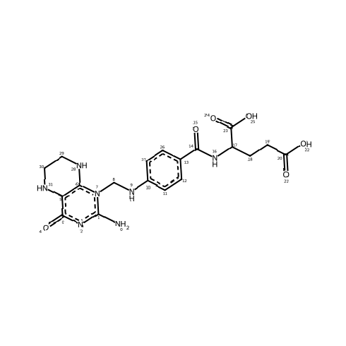 Nc1nc(=O)c2c(n1CNc1ccc(C(=O)NC(CCC(=O)O)C(=O)O)cc1)NCCN2